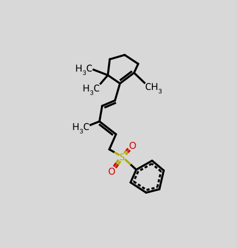 CC(C=CC1=C(C)CCCC1(C)C)=CCS(=O)(=O)c1ccccc1